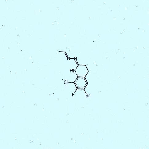 C/C=N/N=C1/CCc2cc(Br)c(F)c(Cl)c2N1